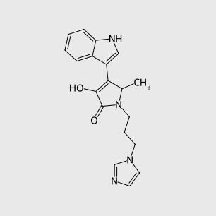 CC1C(c2c[nH]c3ccccc23)=C(O)C(=O)N1CCCn1ccnc1